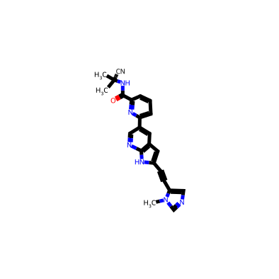 Cn1cncc1C#Cc1cc2cc(-c3cccc(C(=O)NC(C)(C)C#N)n3)cnc2[nH]1